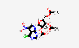 CC(=O)OC[C@H]1O[C@@H](n2cc([N+](=O)[O-])c3c(Cl)ncnc32)[C@](C)(OC(C)=O)[C@@H]1OC(C)=O